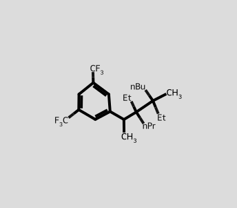 CCCCC(C)(CC)C(CC)(CCC)C(C)c1cc(C(F)(F)F)cc(C(F)(F)F)c1